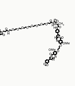 COc1cc2c(cc1OCCCOc1cc3c(cc1OC)C(=O)N1C=C(c4ccc5c(c4)OCO5)C[C@H]1C=N3)N=C[C@@H]1CC(c3ccc(NC(=O)[C@H](C)NC(=O)[C@@H](NC(=O)CCOCCOCCOCCOCCOCCOCCOCCOCCNC(=O)CCN4C(=O)C=CC4=O)C(C)C)cc3)=CN1C2=O